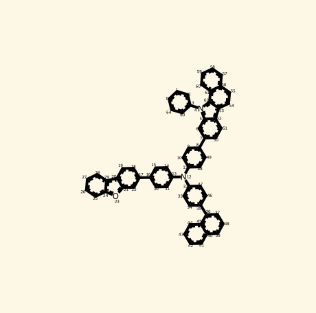 c1ccc(-n2c3cc(-c4ccc(N(c5ccc(-c6ccc7c(c6)oc6ccccc67)cc5)c5ccc(-c6cccc7ccccc67)cc5)cc4)ccc3c3ccc4ccccc4c32)cc1